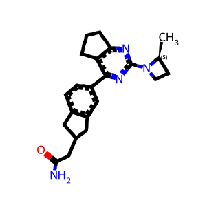 C[C@H]1CCN1c1nc2c(c(-c3ccc4c(c3)CC(CC(N)=O)C4)n1)CCC2